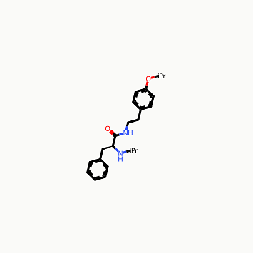 CC(C)N[C@@H](Cc1ccccc1)C(=O)NCCc1ccc(OC(C)C)cc1